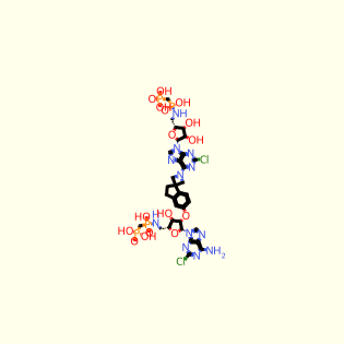 Nc1nc(Cl)nc2c1ncn2[C@@H]1O[C@H](CNP(=O)(O)CP(=O)(O)O)C(O)C1Oc1ccc2c(c1)CCC21CN(c2nc(Cl)nc3c2ncn3[C@@H]2O[C@H](CNP(=O)(O)CP(=O)(O)O)C(O)C2O)C1